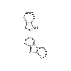 c1ccc2[nH]c(-c3ccc4sc5ccccc5c4c3)nc2c1